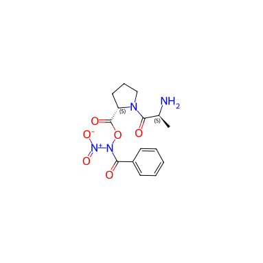 C[C@H](N)C(=O)N1CCC[C@H]1C(=O)ON(C(=O)c1ccccc1)[N+](=O)[O-]